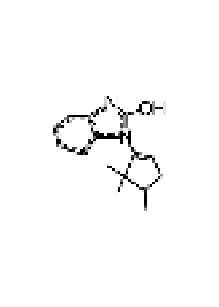 CC1CC=C(n2c(O)nc3ccccc32)C1(C)C